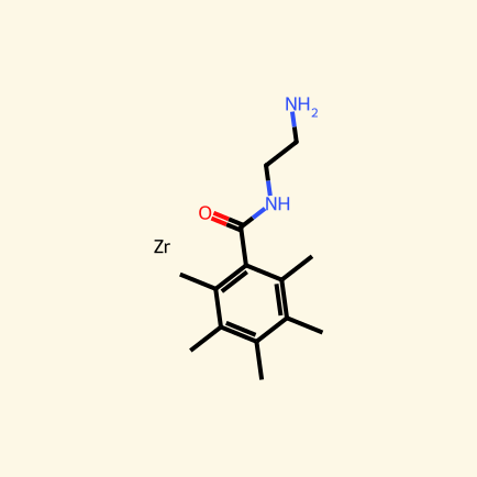 Cc1c(C)c(C)c(C(=O)NCCN)c(C)c1C.[Zr]